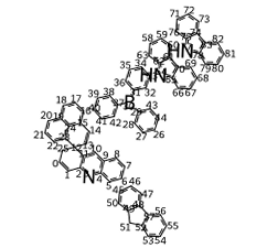 C1=Cc2nc3ccccc3cc2C2(C=Cc3cccc4cccc2c34)C1.c1ccc(B(c2ccccc2)c2ccccc2)cc1.c1ccc2c(c1)Cc1ccccc1-2.c1ccc2c(c1)[nH]c1ccccc12.c1ccc2c(c1)[nH]c1ccccc12